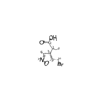 CC(C(=O)O)c1cnoc1CBr